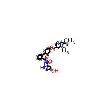 CC(C)(F)CN1CCC(COc2ccc(-c3ccccc3C(=O)NC(=O)[C@@H]3C[C@@H](O)CN3)cc2)CC1